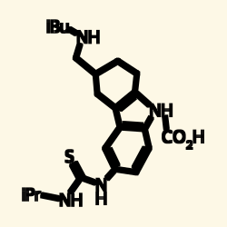 CC(=O)O.CCC(C)NCC1CCc2[nH]c3ccc(NC(=S)NC(C)C)cc3c2C1